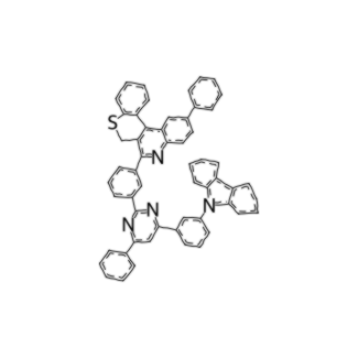 c1ccc(-c2ccc3nc(-c4cccc(-c5nc(-c6ccccc6)cc(-c6cccc(-n7c8ccccc8c8ccccc87)c6)n5)c4)c4c(c3c2)-c2ccccc2SC4)cc1